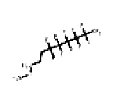 FC(F)(F)C(F)(F)C(F)(F)C(F)(F)C(F)(F)C(F)(F)CC[SiH2]O[SiH3]